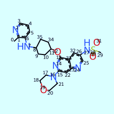 Cc1ncccc1NC1CCC(Oc2nc(N3CCOCC3)cc3ncc(NS(C)(=O)=O)cc23)CC1